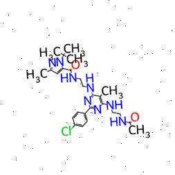 CC(=O)NCCNc1nc(-c2ccc(Cl)cc2)nc(NCCNC(=O)c2cc(C)nn2C(C)(C)C)c1C